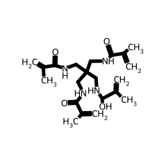 C=C(C)C(=O)NCC(CNC(=O)C(=C)C)(CNC(=O)C(=C)C)CNC(O)C(=C)C